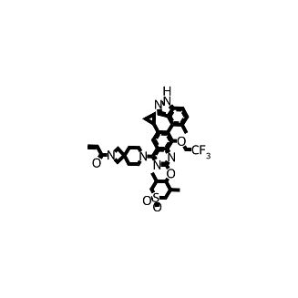 C=CC(=O)N1CC2(CCN(c3nc(OC4C(C)CS(=O)(=O)CC4C)nc4c(OCC(F)(F)F)c(-c5c(C)ccc6[nH]ncc56)c(C5CC5)cc34)CC2)C1